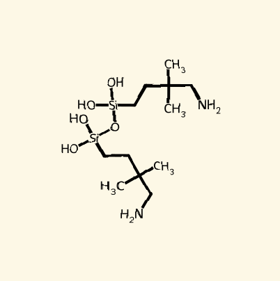 CC(C)(CN)CC[Si](O)(O)O[Si](O)(O)CCC(C)(C)CN